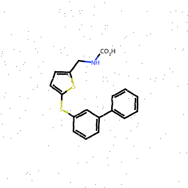 O=C(O)NCc1ccc(Sc2cccc(-c3ccccc3)c2)s1